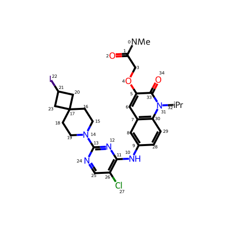 CNC(=O)COc1cc2cc(Nc3nc(N4CCC5(CC4)CC(I)C5)ncc3Cl)ccc2n(C(C)C)c1=O